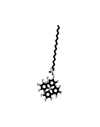 CCCCCCCCCCCCCCCCCC[NH+](C)C.Fc1c(F)c(F)c([B-](c2c(F)c(F)c(F)c(F)c2F)(c2c(F)c(F)c(F)c(F)c2F)c2c(F)c(F)c(F)c(F)c2F)c(F)c1F